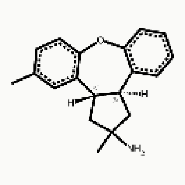 Cc1ccc2c(c1)[C@H]1CC(C)(N)C[C@@H]1c1ccccc1O2